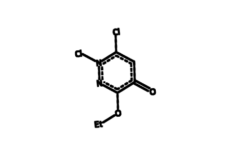 CCOc1nn(Cl)c(Cl)cc1=O